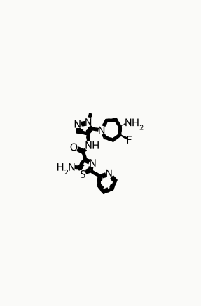 Cn1ncc(NC(=O)c2nc(-c3ccccn3)sc2N)c1N1CC[C@H](N)[C@@H](F)CC1